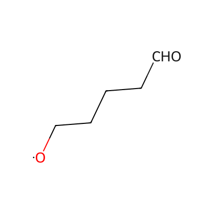 [O]CCCCC=O